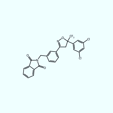 O=C1c2ccccc2C(=O)N1Cc1cccc(C2=NOC(c3cc(Cl)cc(Cl)c3)(C(F)(F)F)C2)c1